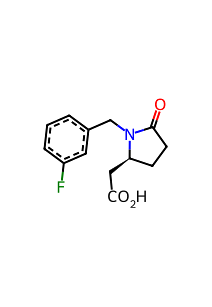 O=C(O)C[C@@H]1CCC(=O)N1Cc1cccc(F)c1